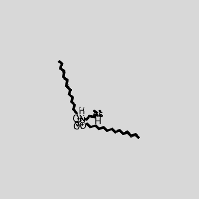 CCCCCCCCCCCCCCOP(=O)(NCCC[AsH](C)(C)C)OCCCCCCCCCCCCCC